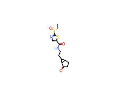 CC[S+]([O-])c1ncc(C(=O)NCCC2C3CCC(=O)C23)s1